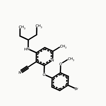 CCC(CC)Nc1cc(C)nc(Oc2ccc(Br)cc2OC)c1C#N